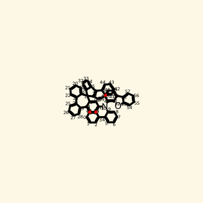 c1ccc(-c2ccccc2N(c2ccc3c(c2)C2(c4ccccc4-c4ccccc4-3)c3ccccc3-c3c2ccc2ccccc32)c2cccc3c2oc2ccccc23)cc1